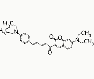 CCN(CC)c1ccc(C=CC=CC(=O)c2cc3ccc(N(CC)CC)cc3oc2=O)cc1